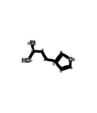 CC[C@H](O)CCc1ccoc1